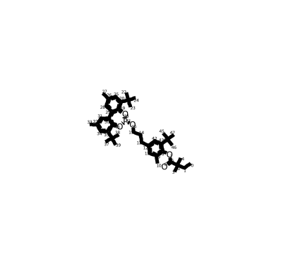 CCC(C)(C)C(=O)Oc1c(C)cc(CCCOp2oc3c(C(C)(C)C)cc(C)cc3c3cc(C)cc(C(C)(C)C)c3o2)cc1C(C)(C)C